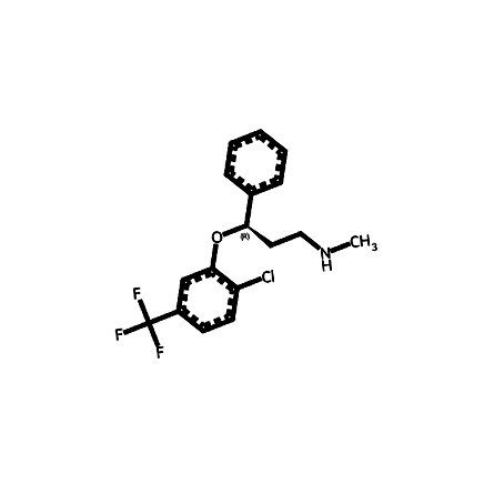 CNCC[C@@H](Oc1cc(C(F)(F)F)ccc1Cl)c1ccccc1